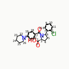 O=C(O)[C@@H]1CCC(c2ccccc2Cl)N1C(=O)c1ccc(N2CCCCC2)cc1